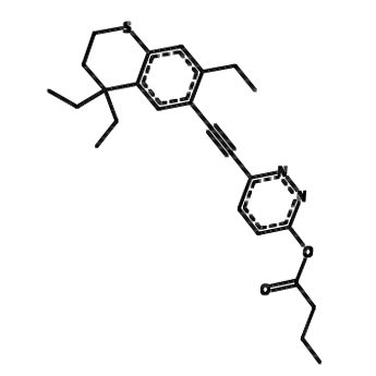 CCCC(=O)Oc1ccc(C#Cc2cc3c(cc2CC)SCCC3(CC)CC)nn1